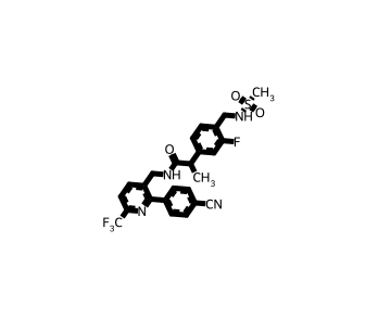 CC(C(=O)NCc1ccc(C(F)(F)F)nc1-c1ccc(C#N)cc1)c1ccc(CNS(C)(=O)=O)c(F)c1